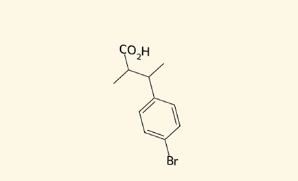 CC(C(=O)O)C(C)c1ccc(Br)cc1